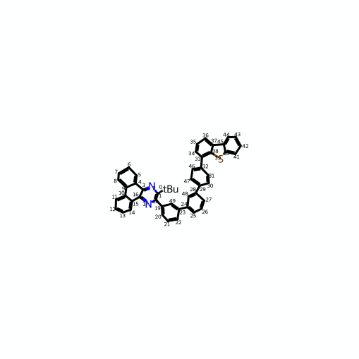 CC(C)(C)c1nc2c3ccccc3c3ccccc3c2nc1-c1cccc(-c2cccc(-c3ccc(-c4cccc5c4sc4ccccc45)cc3)c2)c1